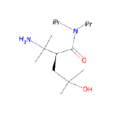 CC(C)N(C(=O)[C@@H](CC(C)(C)O)C(C)(C)N)C(C)C